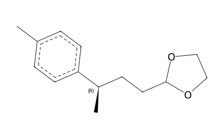 Cc1ccc([C@H](C)CCC2OCCO2)cc1